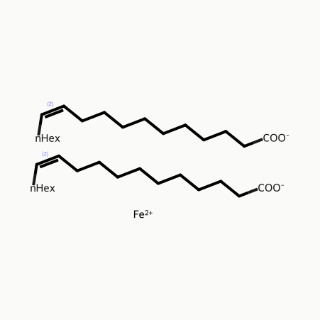 CCCCCC/C=C\CCCCCCCCCC(=O)[O-].CCCCCC/C=C\CCCCCCCCCC(=O)[O-].[Fe+2]